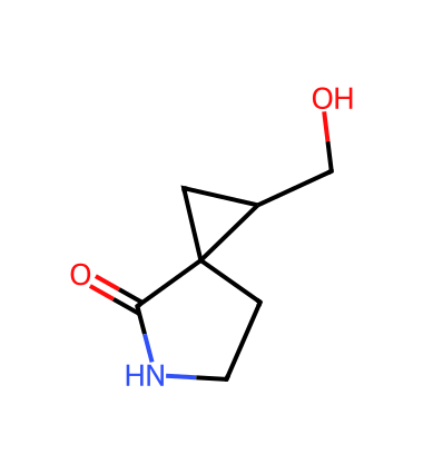 O=C1NCCC12CC2CO